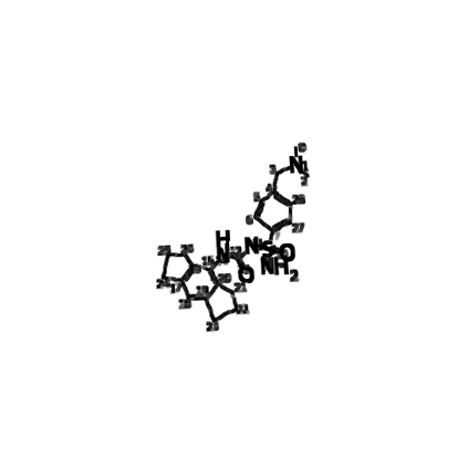 CN(C)Cc1ccc([S@](N)(=O)=NC(=O)Nc2c3c(cc4c2CCC4)CCC3)cc1